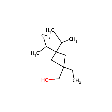 CCC1(CO)CC(C(C)C)(C(C)C)C1